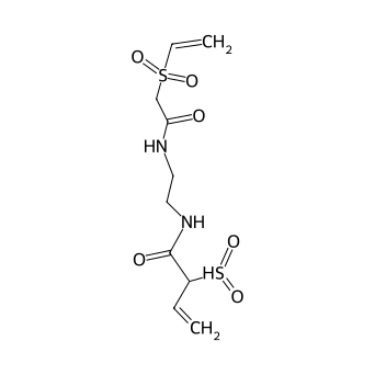 C=CC(C(=O)NCCNC(=O)CS(=O)(=O)C=C)[SH](=O)=O